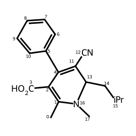 CC1=C(C(=O)O)C(c2ccccc2)=C(C#N)C(CC(C)C)N1C